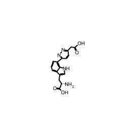 N[C@@H](Cc1c[nH]c2c(-c3ccc(CC(=O)O)nn3)cccc12)C(=O)O